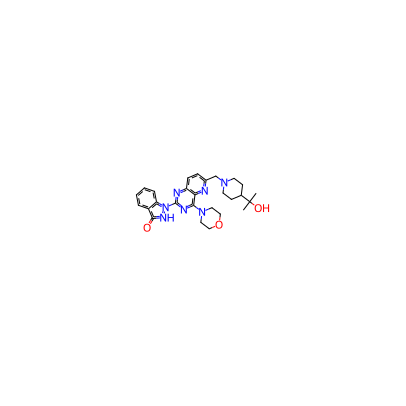 CC(C)(O)C1CCN(Cc2ccc3nc(-n4[nH]c(=O)c5ccccc54)nc(N4CCOCC4)c3n2)CC1